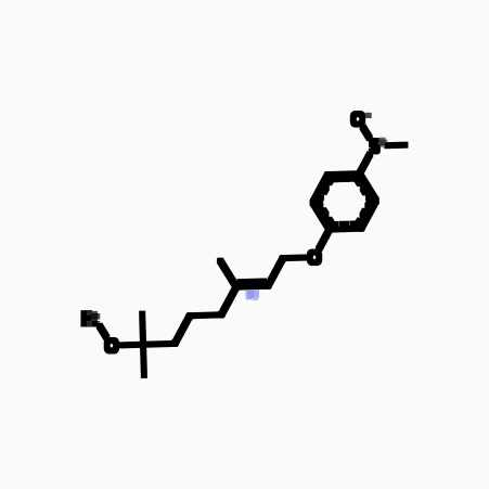 CCOC(C)(C)CCC/C(C)=C/COc1ccc([S+](C)[O-])cc1